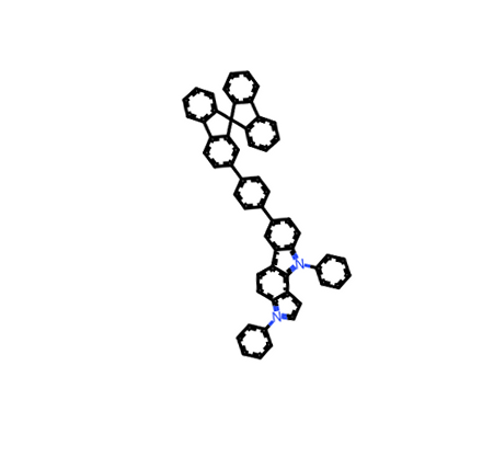 c1ccc(-n2ccc3c2ccc2c4cc(-c5ccc(-c6ccc7c(c6)C6(c8ccccc8-c8ccccc86)c6ccccc6-7)cc5)ccc4n(-c4ccccc4)c23)cc1